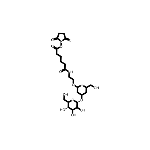 O=C(CCCCC(=O)ON1C(=O)CCC1=O)NCCOC1CC(O[C@H]2OC(CO)[C@@H](O)C(O)C2O)CC(CO)O1